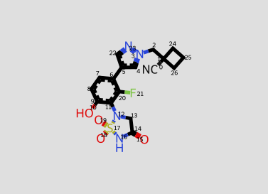 N#CC1(Cn2cc(-c3ccc(O)c(N4CC(=O)NS4(=O)=O)c3F)cn2)CCC1